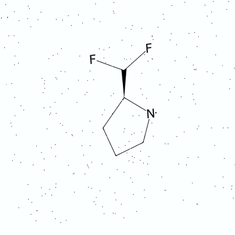 FC(F)[C@@H]1CCC[N]1